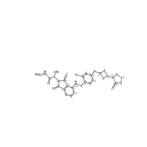 CCCC(C(=O)NC=O)N1C(=O)c2cccc(NCc3ccc(CN4CC(N5CCCC5=O)C4)cc3F)c2C1=O